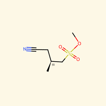 COS(=O)(=O)C[C@@H](C)CC#N